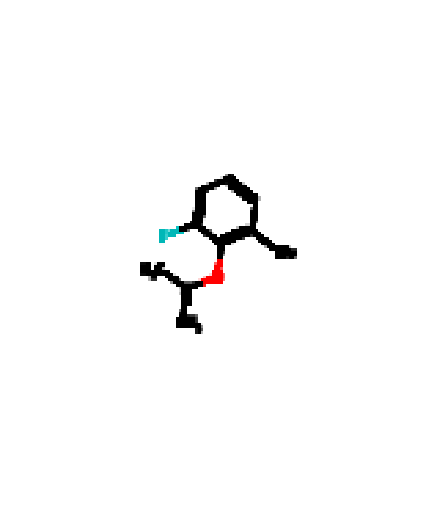 C[SiH](C)Oc1c(F)cccc1C(C)(C)C